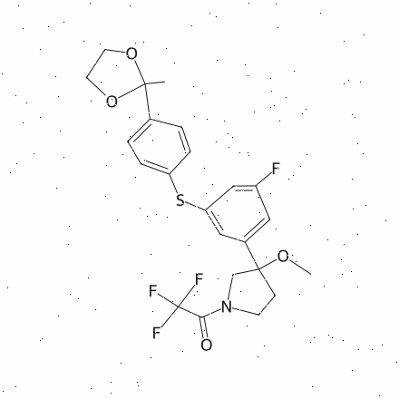 COC1(c2cc(F)cc(Sc3ccc(C4(C)OCCO4)cc3)c2)CCN(C(=O)C(F)(F)F)C1